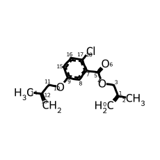 C=C(C)COC(=O)c1cc(OCC(=C)C)ccc1Cl